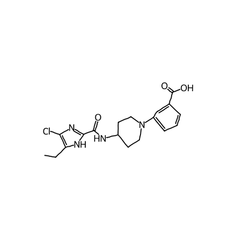 CCc1[nH]c(C(=O)NC2CCN(c3cccc(C(=O)O)c3)CC2)nc1Cl